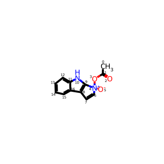 CC(=O)O[N+]1([O-])C=Cc2c1[nH]c1ccccc21